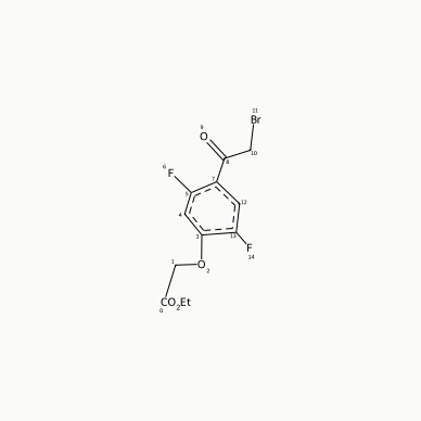 CCOC(=O)COc1cc(F)c(C(=O)CBr)cc1F